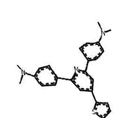 CN(C)c1ccc(-c2cc(-c3cccs3)cc(-c3ccc(N(C)C)cc3)n2)cc1